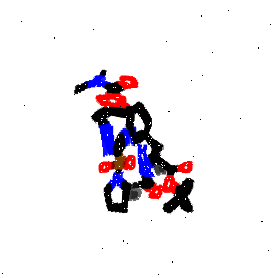 CN(C)C(=O)Oc1ccc(C[C@H](NC(=O)[C@@H]2CCCN2S(=O)(=O)c2ncccn2)C(=O)OC(C)(C)C)cc1